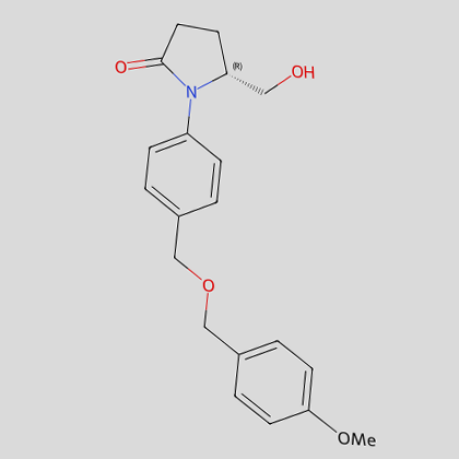 COc1ccc(COCc2ccc(N3C(=O)CC[C@@H]3CO)cc2)cc1